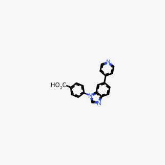 O=C(O)c1ccc(-n2cnc3ccc(-c4ccncc4)cc32)cc1